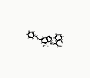 CCC(Nn1ccc2cc(OCc3ccccc3)ccc21)c1ccncc1F.Cl